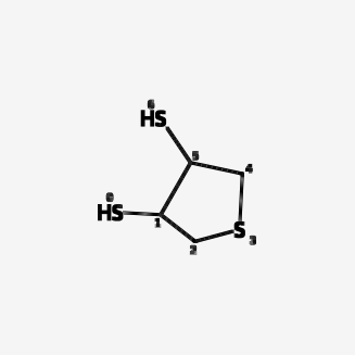 SC1CSCC1S